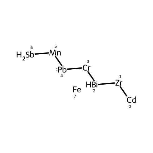 [Cd][Zr][BiH][Cr][Pb][Mn][SbH2].[Fe]